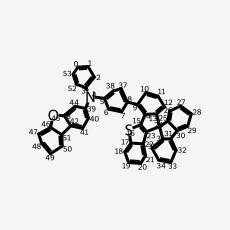 c1ccc(N(c2ccc(-c3cccc4c3-c3sc5ccccc5c3C43c4ccccc4-c4ccccc43)cc2)c2ccc3c(c2)oc2ccccc23)cc1